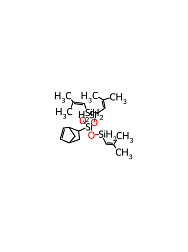 CC(C)=C[SiH2]O[Si](O[SiH2]C=C(C)C)(O[SiH2]C=C(C)C)C1CC2C=CC1C2